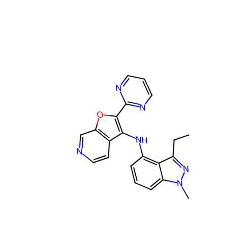 CCc1nn(C)c2cccc(Nc3c(-c4ncccn4)oc4cnccc34)c12